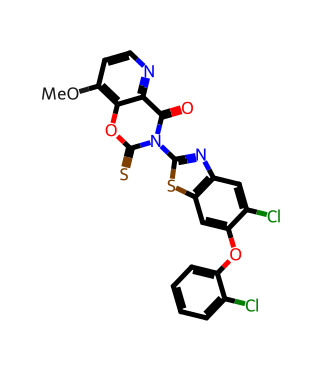 COc1ccnc2c(=O)n(-c3nc4cc(Cl)c(Oc5ccccc5Cl)cc4s3)c(=S)oc12